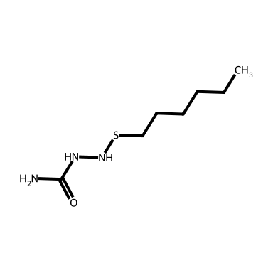 CCCCCCSNNC(N)=O